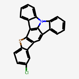 Clc1ccc2sc3c(cc4c5ccccc5n5c6ccccc6c3c45)c2c1